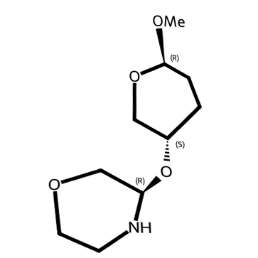 CO[C@H]1CC[C@H](O[C@@H]2COCCN2)CO1